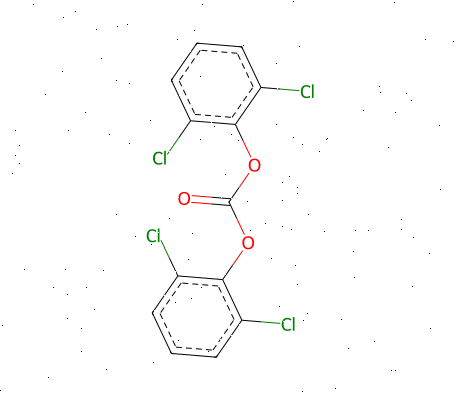 O=C(Oc1c(Cl)cccc1Cl)Oc1c(Cl)cccc1Cl